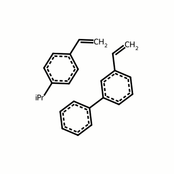 C=Cc1ccc(C(C)C)cc1.C=Cc1cccc(-c2ccccc2)c1